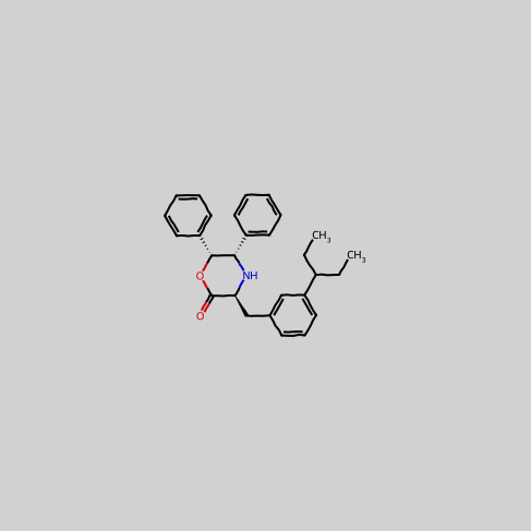 CCC(CC)c1cccc(C[C@@H]2N[C@@H](c3ccccc3)[C@@H](c3ccccc3)OC2=O)c1